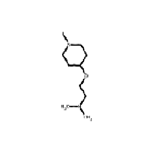 CN(C)CCOC1CCN(I)CC1